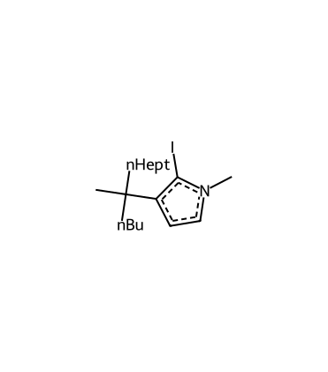 CCCCCCCC(C)(CCCC)c1ccn(C)c1I